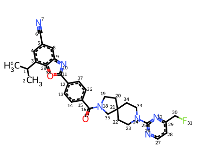 CC(C)c1cc(C#N)cc2nc(-c3ccc(C(=O)N4CCC5(CCN(c6nccc(CF)n6)CC5)C4)cc3)oc12